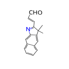 CC1(C)C(/C=C/C=O)=Nc2cc3ccccc3cc21